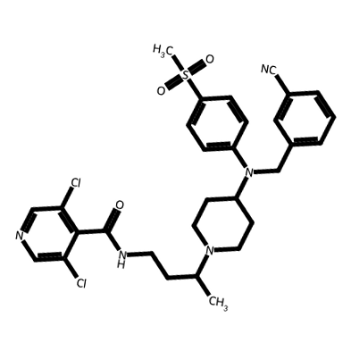 CC(CCNC(=O)c1c(Cl)cncc1Cl)N1CCC(N(Cc2cccc(C#N)c2)c2ccc(S(C)(=O)=O)cc2)CC1